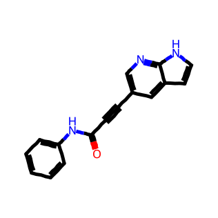 O=C(C#Cc1cnc2[nH]ccc2c1)Nc1ccccc1